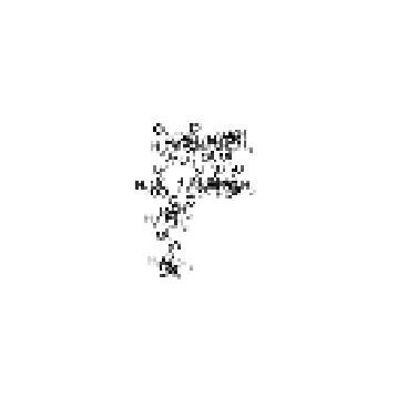 CC(C)(C=O)CCC(=O)CCC(=O)CCC(C)(C)C=O.CC(C)(CCC(=O)CCC(=O)CCC(C)(C)C(=O)OCc1ccccc1)C(=O)OCc1ccccc1.CC(C)(CCC(=O)CCC(=O)CCC(C)(C)C(=O)Oc1ccccc1)C(=O)Oc1ccccc1.CC(C)(CCC(=O)CCC(=O)CCC(C)(C)S(=O)(=O)O)S(=O)(=O)O.COC(=O)C(C)(C)CCC(=O)CCC(=O)CCC(C)(C)C(=O)OC